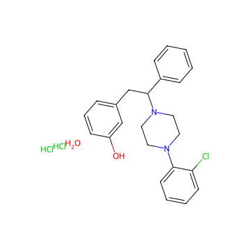 Cl.Cl.O.Oc1cccc(CC(c2ccccc2)N2CCN(c3ccccc3Cl)CC2)c1